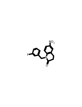 O=C1CCc2cc([N+](=O)[O-])ccc2N1Cc1cccc(F)c1